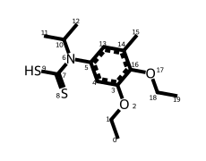 CCOc1cc(N(C(=S)S)C(C)C)cc(C)c1OCC